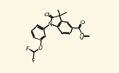 COC(=O)c1ccc2c(c1)C(C)(C)C(=O)N2c1cccc(OC(F)F)c1